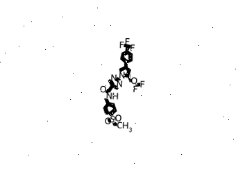 CCS(=O)(=O)c1ccc(CNC(=O)c2cnc(N3CC(c4ccc(C(F)(F)F)cc4)C[C@H]3COC(F)F)nc2)cc1